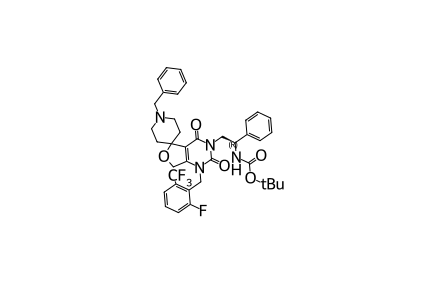 CC(C)(C)OC(=O)N[C@@H](Cn1c(=O)c2c(n(Cc3c(F)cccc3C(F)(F)F)c1=O)COC21CCN(Cc2ccccc2)CC1)c1ccccc1